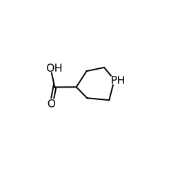 O=C(O)C1CCPCC1